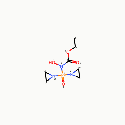 CCOC(=O)N(O)P(=O)(N1CC1)N1CC1